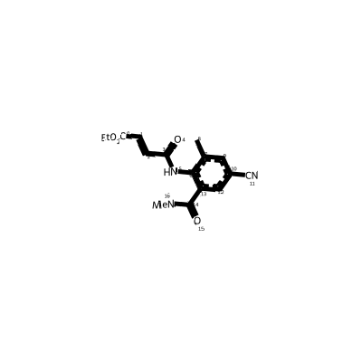 CCOC(=O)/C=C/C(=O)Nc1c(C)cc(C#N)cc1C(=O)NC